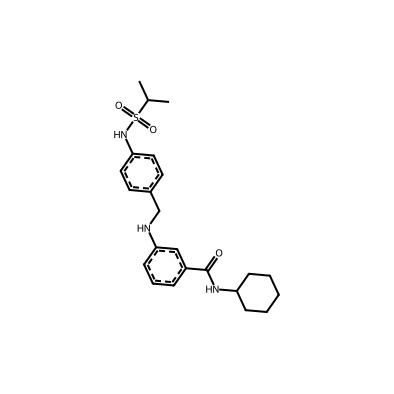 CC(C)S(=O)(=O)Nc1ccc(CNc2cccc(C(=O)NC3CCCCC3)c2)cc1